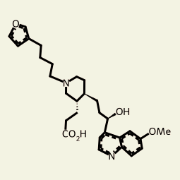 COc1ccc2nccc([C@H](O)CC[C@@H]3CCN(CCCCc4ccoc4)C[C@H]3CCC(=O)O)c2c1